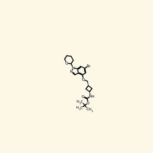 CC(C)(C)OC(=O)N[C@H]1C[C@@H](COc2cc(Br)cc3c2cnn3C2CCCCO2)C1